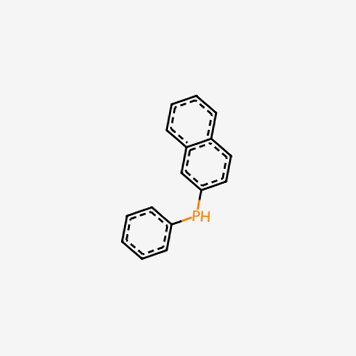 c1ccc(Pc2ccc3ccccc3c2)cc1